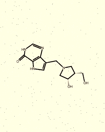 O=c1[nH]cnc2c(CN3C[C@H](CO)[C@H](O)C3)c[nH]c12